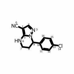 N#Cc1cnn2c1NCCC2c1ccc(Cl)cc1